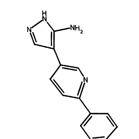 Nc1[nH]ncc1-c1ccc(-c2ccccc2)nc1